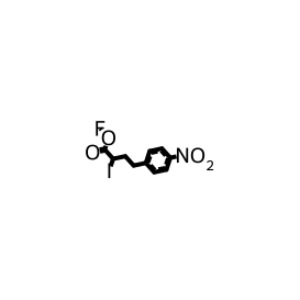 O=C(OF)C(I)CCc1ccc([N+](=O)[O-])cc1